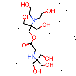 O=C(CNC(CO)(CO)CO)OCC(CO)(CO)N(CCO)CCO